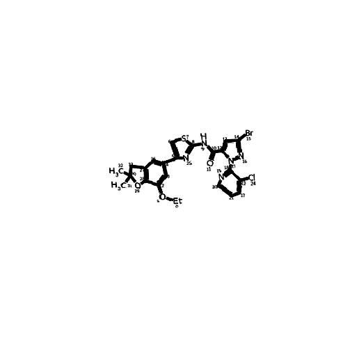 CCOc1cc(-c2csc(NC(=O)c3cc(Br)nn3-c3ncccc3Cl)n2)cc2c1OC(C)(C)C2